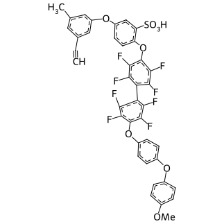 C#Cc1cc(C)cc(Oc2ccc(Oc3c(F)c(F)c(-c4c(F)c(F)c(Oc5ccc(Oc6ccc(OC)cc6)cc5)c(F)c4F)c(F)c3F)c(S(=O)(=O)O)c2)c1